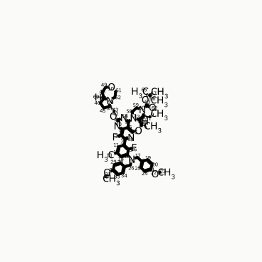 CC[C@H]1[C@H]2[C@H](C)Oc3nc(-c4cc(C)cc(N(Cc5ccc(OC)cc5)Cc5ccc(OC)cc5)c4F)c(F)c4nc(OC[C@@H]5CC[C@H]6CCOCCN65)nc(c34)N2CCN1C(=O)OC(C)(C)C